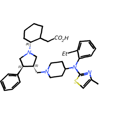 CCc1ccccc1N(c1nc(C)cs1)C1CCN(C[C@H]2CN([C@@H]3CCCCC3CC(=O)O)C[C@@H]2c2ccccc2)CC1